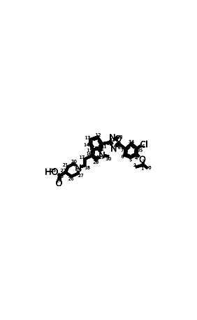 CC(C)Oc1ccc(-c2nc(-c3cccc4c(CCN5CCC(C(=O)O)CC5)cn(C)c34)no2)cc1Cl